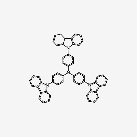 C1=CCC2C(=C1)N(c1ccc(N(c3ccc(-n4c5ccccc5c5ccccc54)cc3)c3ccc(-n4c5ccccc5c5ccccc54)cc3)cc1)c1ccccc12